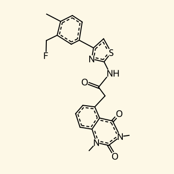 Cc1ccc(-c2csc(NC(=O)Cc3cccc4c3c(=O)n(C)c(=O)n4C)n2)cc1CF